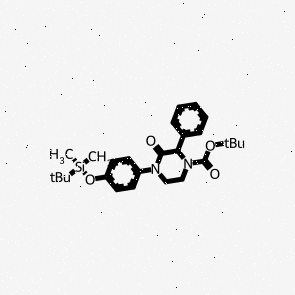 CC(C)(C)OC(=O)N1CCN(c2ccc(O[Si](C)(C)C(C)(C)C)cc2)C(=O)C1c1ccccc1